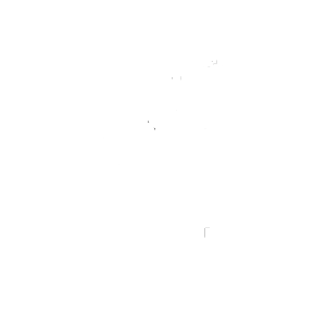 CC(C)(C)OC(=O)N1CCC(Cc2cccc(F)c2)C1